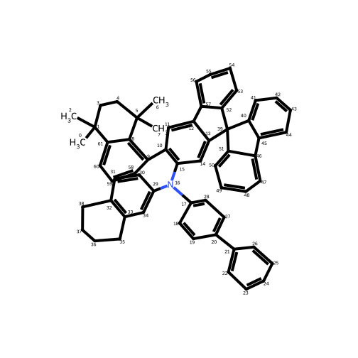 CC1(C)CCC(C)(C)c2c(-c3cc4c(cc3N(c3ccc(-c5ccccc5)cc3)c3ccc5c(c3)CCCC5)C3(c5ccccc5-c5ccccc53)c3ccccc3-4)cccc21